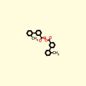 Cc1ccccc1-c1cccc(C(=O)OOC(=O)c2cccc(-c3ccccc3C)c2)c1